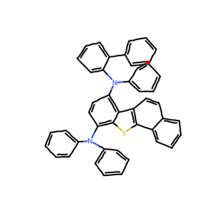 c1ccc(-c2ccccc2N(c2ccccc2)c2ccc(N(c3ccccc3)c3ccccc3)c3sc4c5ccccc5ccc4c23)cc1